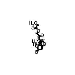 C=CC(=O)OCC(=O)OC1C2OC(=O)C3C2OC1C3(C)C